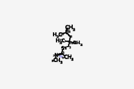 BC(C)(CS/C(C)=N/C)CC(C)C